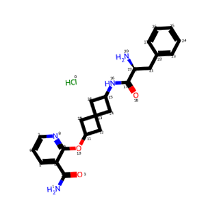 Cl.NC(=O)c1cccnc1OC1CC2(CC(NC(=O)[C@@H](N)Cc3ccccc3)C2)C1